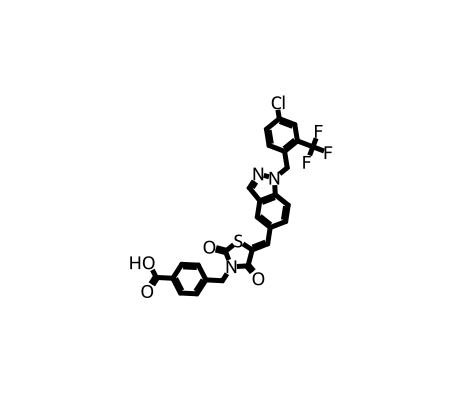 O=C(O)c1ccc(CN2C(=O)SC(=Cc3ccc4c(cnn4Cc4ccc(Cl)cc4C(F)(F)F)c3)C2=O)cc1